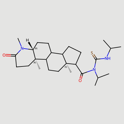 CC(C)NC(=S)N(C(=O)C1CCC2C3CC[C@H]4N(C)C(=O)CC[C@]4(C)C3CC[C@]12C)C(C)C